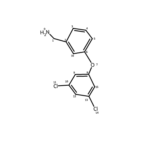 NCc1cccc(Oc2cc(Cl)cc(Cl)c2)c1